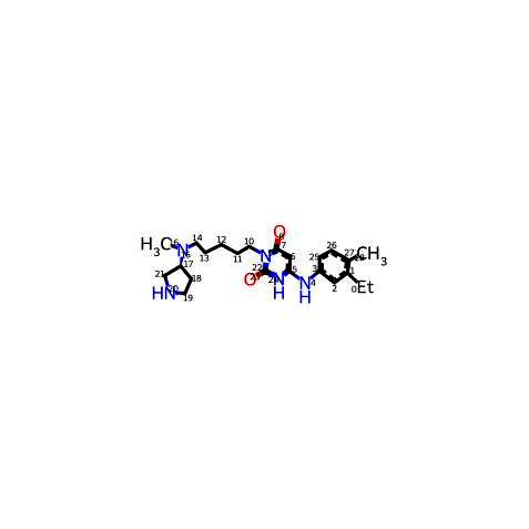 CCc1cc(Nc2cc(=O)n(CCCCCN(C)[C@H]3CCNC3)c(=O)[nH]2)ccc1C